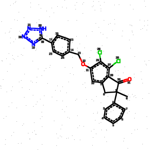 CC1(c2ccccc2)Cc2cc(OCc3ccc(-c4nnn[nH]4)cc3)c(Cl)c(Cl)c2C1=O